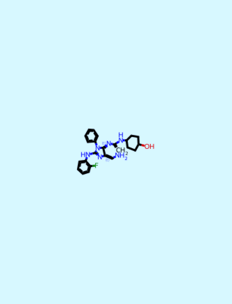 C=C(/N=C1\C(=C/N)N=C(Nc2ccccc2F)N1c1ccccc1)NC1CCC(O)CC1